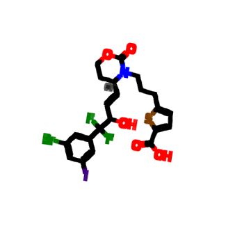 O=C(O)c1ccc(CCCN2C(=O)OCC[C@@H]2C=CC(O)C(F)(F)c2cc(Br)cc(I)c2)s1